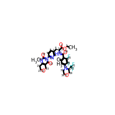 CCOC(=O)[C@H](Cc1ccc(-n2c(=O)c3c(n(C)c2=O)CCOC3)nc1)NC(=O)c1c(C)cc(N2CCOC[C@@H]2C(F)(F)F)cc1F